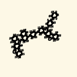 c1ccc(-c2ccc(-n3c4ccc(-c5ccc(-c6ccc(-n7c8ccccc8c8cc9oc%10ccccc%10c9cc87)c7ccccc67)cc5)cc4c4cc5oc6ccccc6c5cc43)cc2)cc1